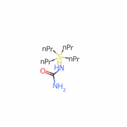 CCC[SH](CCC)(CCC)(CCC)NC(N)=O